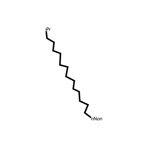 [CH2]CCCCCCCCCCCCCCCCCCCCCC([CH2])C